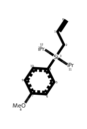 C=CC[Si](c1ccc(OC)cc1)(C(C)C)C(C)C